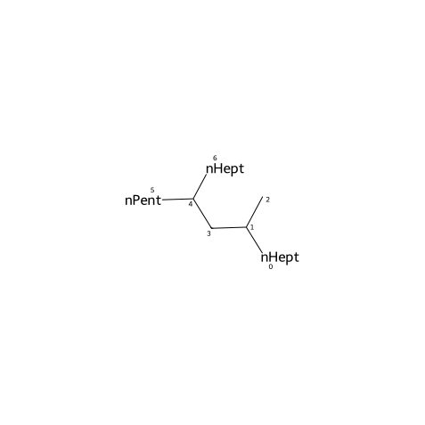 CCCCCCCC(C)CC(CCCCC)CCCCCCC